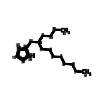 CCCCCCCCC(CCCC)Cc1ncc[nH]1